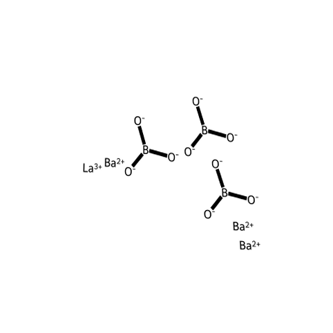 [Ba+2].[Ba+2].[Ba+2].[La+3].[O-]B([O-])[O-].[O-]B([O-])[O-].[O-]B([O-])[O-]